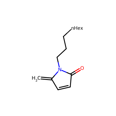 C=C1C=CC(=O)N1CCCCCCCCC